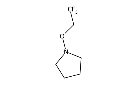 FC(F)(F)CON1CCCC1